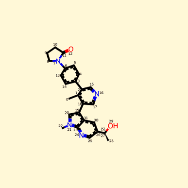 Cc1c(-c2ccc(N3CCCC3=O)cc2)cncc1-c1cn(C)c2ncc([C@H](C)O)cc12